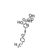 CCc1ccc(OCC#Cc2cnc(C(=O)NCC(=O)O)c(O)c2)cc1